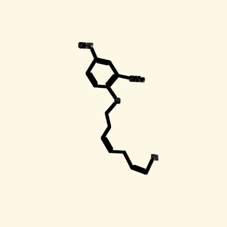 CC/C=C\C/C=C\CCOc1ccc(C=O)cc1OC